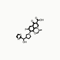 CN1COc2c(N3CCC(C(O)c4nccs4)C3)c(F)cc3c(=O)c(C(=O)O)cn1c23